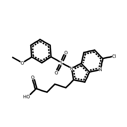 COc1cccc(S(=O)(=O)n2c(CCCC(=O)O)cc3nc(Cl)ccc32)c1